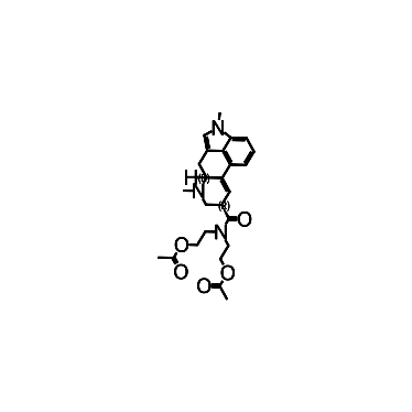 CC(=O)OCCN(CCOC(C)=O)C(=O)[C@@H]1C=C2c3cccc4c3c(cn4C)C[C@H]2N(C)C1